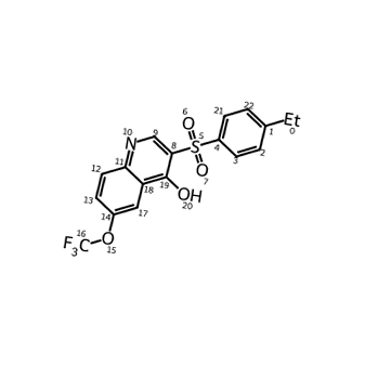 CCc1ccc(S(=O)(=O)c2cnc3ccc(OC(F)(F)F)cc3c2O)cc1